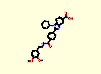 COc1ccc(CCNC(=O)c2ccc(-c3nc4cc(C(=O)O)ccc4n3C3CCCCC3)cc2)cc1OC